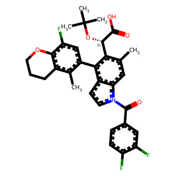 Cc1cc2c(ccn2C(=O)c2ccc(F)c(F)c2)c(-c2cc(F)c3c(c2C)CCCO3)c1[C@H](OC(C)(C)C)C(=O)O